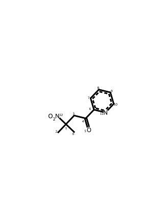 CC(C)(CC(=O)c1ccccn1)[N+](=O)[O-]